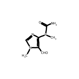 CN(C(N)=O)c1ncn(C)c1C=O